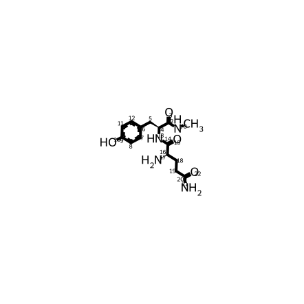 CNC(=O)[C@H](Cc1ccc(O)cc1)NC(=O)[C@@H](N)CCC(N)=O